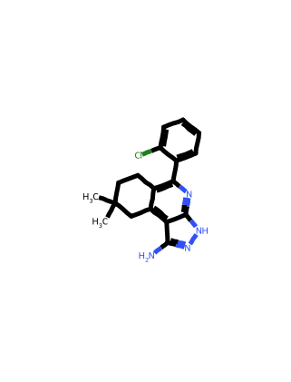 CC1(C)CCc2c(-c3ccccc3Cl)nc3[nH]nc(N)c3c2C1